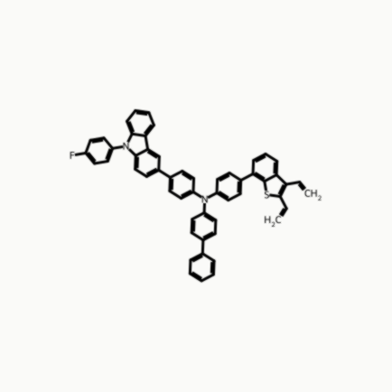 C=Cc1sc2c(-c3ccc(N(c4ccc(-c5ccccc5)cc4)c4ccc(-c5ccc6c(c5)c5ccccc5n6-c5ccc(F)cc5)cc4)cc3)cccc2c1C=C